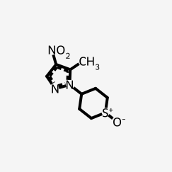 Cc1c([N+](=O)[O-])cnn1C1CC[S+]([O-])CC1